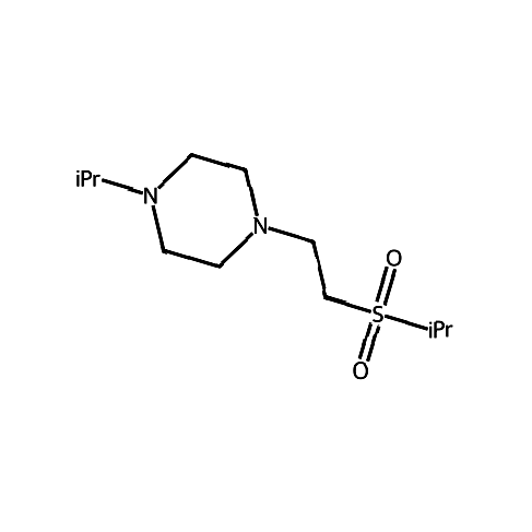 CC(C)N1CCN(CCS(=O)(=O)C(C)C)CC1